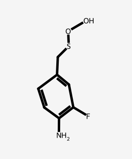 Nc1ccc(CSOO)cc1F